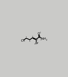 NC(=O)C(Br)=CCCCl